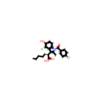 CCCCC[C@H](C(=O)O)c1c(C)n(C(=O)c2ccc(Cl)cc2)c2ccc(O)c(F)c12